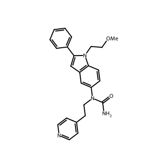 COCCn1c(-c2ccccc2)cc2cc(N(CCc3ccncc3)C(N)=O)ccc21